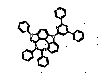 N=C(c1ccccc1)N(c1ccccc1)c1cn(-c2ccccc2)c2ccc3c(c4ccccc4n3-c3cc(-c4ccccc4)cc(-c4ccccc4)n3)c12